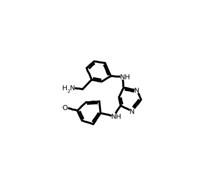 NCc1cccc(Nc2cc(Nc3ccc([O])cc3)ncn2)c1